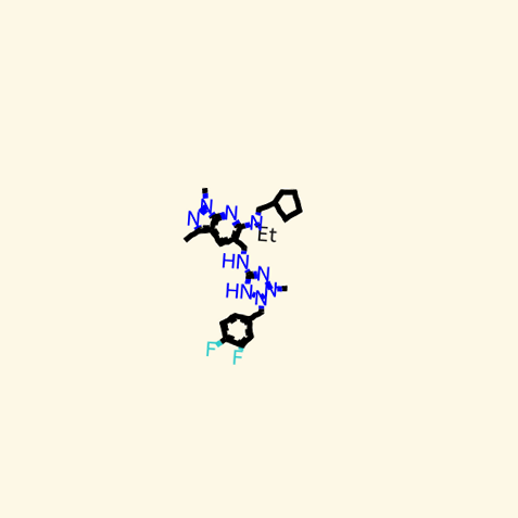 CCN(CC1CCCC1)c1nc2c(cc1CNC1=NN(C)N(Cc3ccc(F)c(F)c3)N1)c(C)nn2C